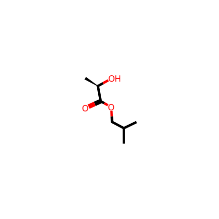 CC(C)COC(=O)[C@@H](C)O